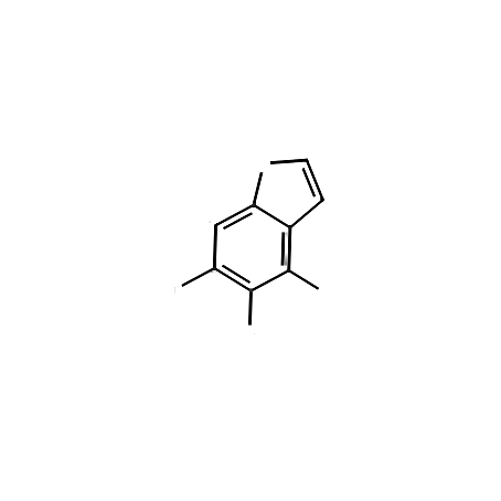 Oc1c(Br)cc2sccc2c1Br